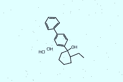 CCC1CCCCC1(O)c1ccc(-c2ccccc2)cc1.Cl.Cl